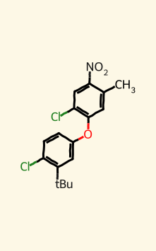 Cc1cc(Oc2ccc(Cl)c(C(C)(C)C)c2)c(Cl)cc1[N+](=O)[O-]